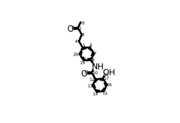 CC(=O)CCc1ccc(NC(=O)c2ccccc2O)cc1